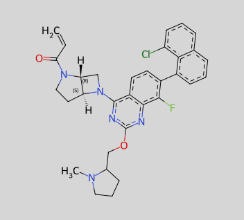 C=CC(=O)N1CC[C@H]2[C@H]1CN2c1nc(OCC2CCCN2C)nc2c(F)c(-c3cccc4cccc(Cl)c34)ccc12